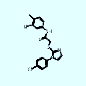 Cc1ccc(NC(=O)CSc2nccn2-c2ccc(Cl)cc2)cc1Cl